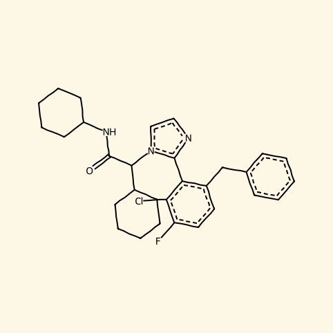 O=C(NC1CCCCC1)C(C1CCCCC1)n1ccnc1-c1c(Cc2ccccc2)ccc(F)c1Cl